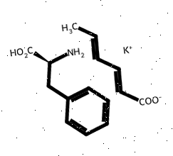 C/C=C/C=C/C(=O)[O-].N[C@@H](Cc1ccccc1)C(=O)O.[K+]